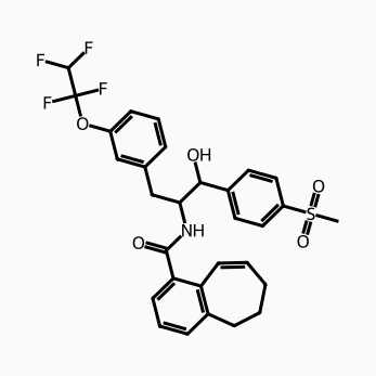 CS(=O)(=O)c1ccc(C(O)C(Cc2cccc(OC(F)(F)C(F)F)c2)NC(=O)c2cccc3c2C=CCCC3)cc1